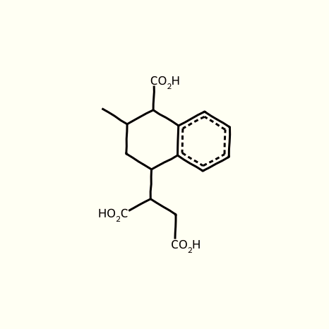 CC1CC(C(CC(=O)O)C(=O)O)c2ccccc2C1C(=O)O